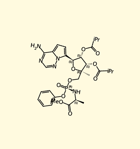 COC(=O)[C@H](C)N[P@@](=O)(OC[C@@]1(C)O[C@@H](c2ccc3c(N)ncnn23)[C@H](OC(=O)C(C)C)[C@@H]1OC(=O)C(C)C)Oc1ccccc1